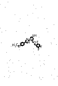 COc1ccc(-c2cnc(N3C[C@H](S)C[C@H]3COCc3cc(F)c(F)cc3F)nc2)cc1